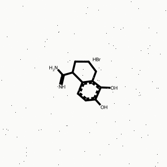 Br.N=C(N)C1CCCc2c1ccc(O)c2O